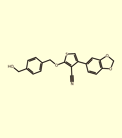 N#Cc1c(-c2ccc3c(c2)OCO3)csc1OCc1ccc(CO)cc1